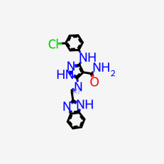 NC(=O)c1c(Nc2cccc(Cl)c2)n[nH]c1/N=C/c1nc2ccccc2[nH]1